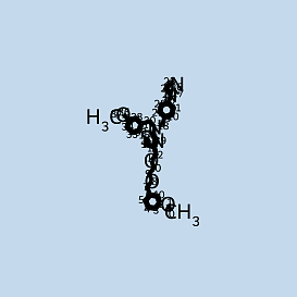 COc1cccc(COCCOCc2csc(N(Cc3ccc(-n4ccnc4)cc3)Cc3cccc(OC)c3)n2)c1